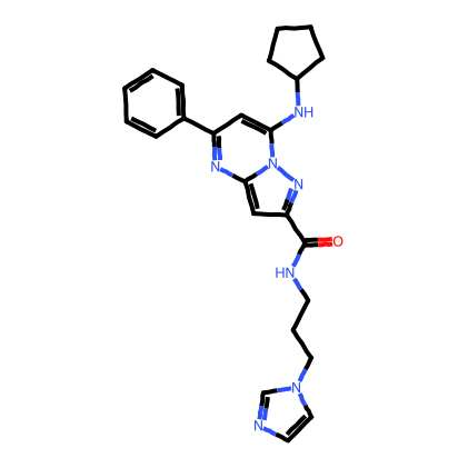 O=C(NCCCn1ccnc1)c1cc2nc(-c3ccccc3)cc(NC3CCCC3)n2n1